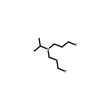 CC(C)N(CCCF)CCCF